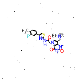 CCN(CC)Cc1cn(CC(=O)Nc2nc(-c3ccc(C(F)(F)F)c(F)c3)cs2)c2c(=O)n(C)c(=O)n(C)c12